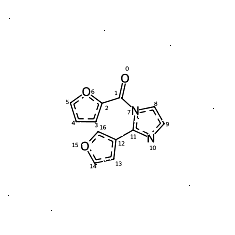 O=C(c1ccco1)n1ccnc1-c1ccoc1